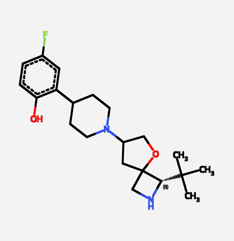 CC(C)(C)[C@@H]1NCC12CC(N1CCC(c3cc(F)ccc3O)CC1)CO2